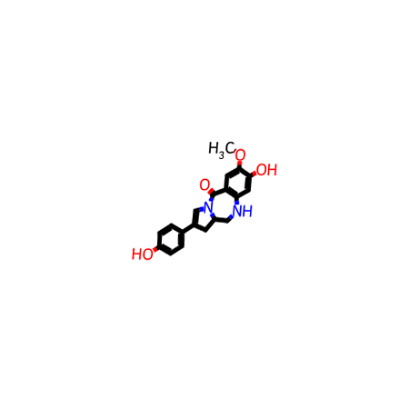 COc1cc2c(cc1O)NCC1CC(c3ccc(O)cc3)=CN1C2=O